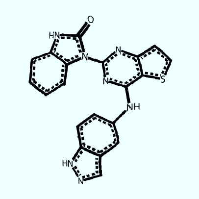 O=c1[nH]c2ccccc2n1-c1nc(Nc2ccc3[nH]ncc3c2)c2sccc2n1